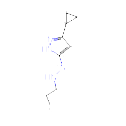 CCCNNc1cc(C2CC2)n[nH]1